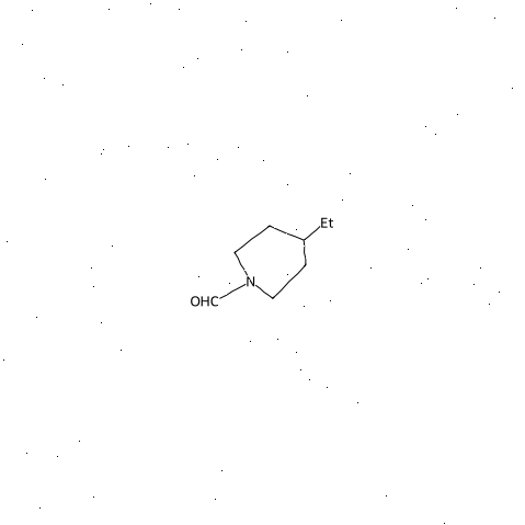 [CH2]CC1CCN(C=O)CC1